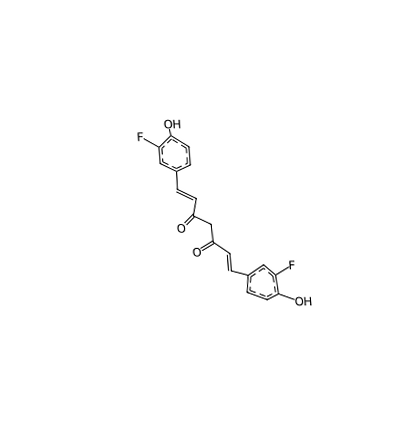 O=C(/C=C/c1ccc(O)c(F)c1)CC(=O)/C=C/c1ccc(O)c(F)c1